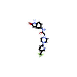 O=C(CN1CCN(c2ccc(C(F)(F)F)cn2)CC1)Nc1ccc2c(c1)CC(=O)N2